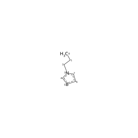 CCCn1cbcc1